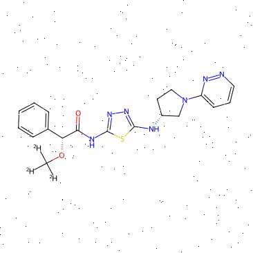 [2H]C([2H])([2H])O[C@@H](C(=O)Nc1nnc(N[C@@H]2CCN(c3cccnn3)C2)s1)c1ccccc1